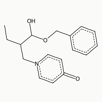 CCC(Cn1ccc(=O)cc1)C(O)OCc1ccccc1